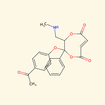 CNCC1OC(=O)/C=C/C(=O)OC1(Oc1ccc(C(C)=O)cc1)c1ccccc1